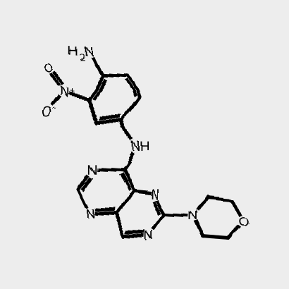 Nc1ccc(Nc2ncnc3cnc(N4CCOCC4)nc23)cc1[N+](=O)[O-]